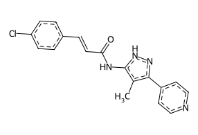 Cc1c(-c2ccncc2)n[nH]c1NC(=O)C=Cc1ccc(Cl)cc1